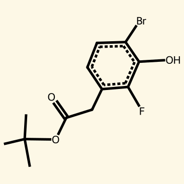 CC(C)(C)OC(=O)Cc1ccc(Br)c(O)c1F